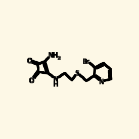 Nc1c(NCCSCc2ncccc2Br)c(=O)c1=O